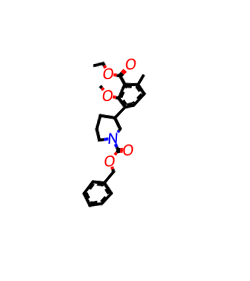 CCOC(=O)c1c(C)ccc(C2CCCN(C(=O)OCc3ccccc3)C2)c1OC